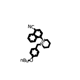 CCCCOc1ccc(CN2CCCCN2c2ccc(C#N)c3ccccc23)cc1